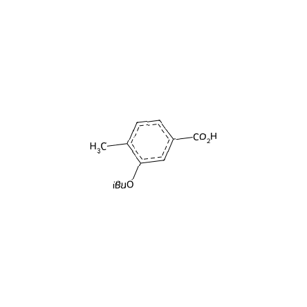 Cc1ccc(C(=O)O)cc1OCC(C)C